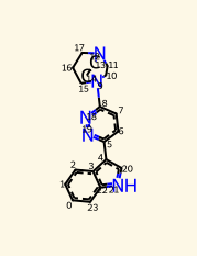 c1ccc2c(-c3ccc(N4CCN5CCC4CC5)nn3)c[nH]c2c1